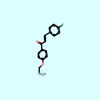 O=C(O)COc1ccc(C(=O)/C=C/c2ccc(F)cc2)cc1